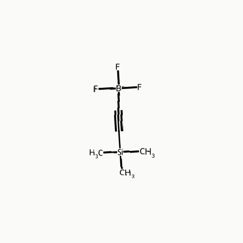 C[Si](C)(C)C#C[B-](F)(F)F